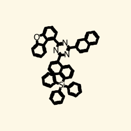 c1ccc([Si](c2ccccc2)(c2ccccc2)c2cccc3c(-c4nc(-c5ccc6ccccc6c5)nc(-c5cccc6oc7ccccc7c56)n4)cccc23)cc1